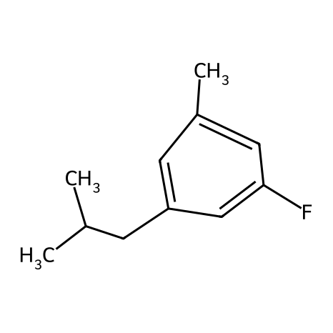 Cc1cc(F)cc(CC(C)C)c1